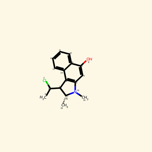 CC(Cl)C1c2c(cc(O)c3ccccc23)N(C)[C@@H]1C